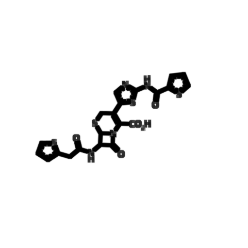 O=C(Cc1cccs1)NC1C(=O)N2C(C(=O)O)=C(c3cnc(NC(=O)c4cccs4)s3)CSC12